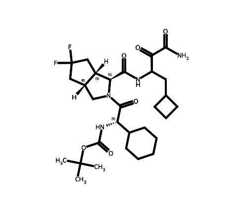 CC(C)(C)OC(=O)N[C@H](C(=O)N1C[C@@H]2CC(F)(F)C[C@@H]2[C@H]1C(=O)NC(CC1CCC1)C(=O)C(N)=O)C1CCCCC1